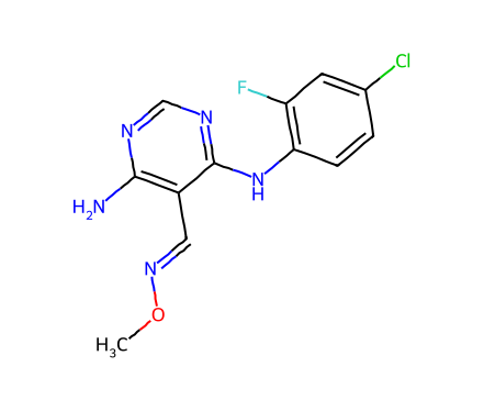 CO/N=C/c1c(N)ncnc1Nc1ccc(Cl)cc1F